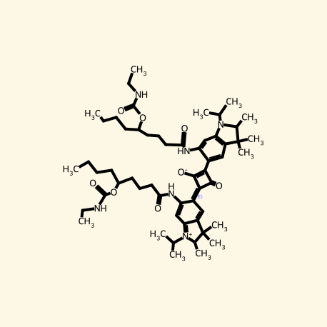 CCCCC(CCCC(=O)Nc1cc2c(cc1C1=C([O-])/C(=c3/cc4c(cc3NC(=O)CCCC(CCCC)OC(=O)NCC)=[N+](C(C)C)C(C)C4(C)C)C1=O)C(C)(C)C(C)N2C(C)C)OC(=O)NCC